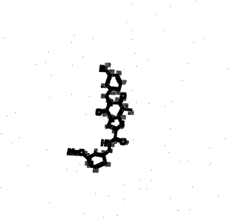 COc1cc(CNC(=O)c2cn3c(=O)n(Cc4cccc(Br)c4)c(=O)c(C)c3s2)ccn1